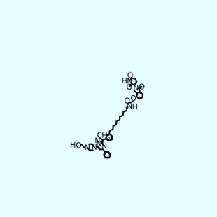 Cc1nn2c(N3CCN(CCO)CC3)cc(-c3ccccc3)nc2c1-c1cccc(CCCCCCCCCCCNC(=O)COc2cccc3c2CN(C2CCC(=O)NC2=O)C3=O)c1